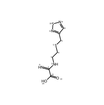 N=C(NCCSCc1cnsn1)C(=O)O